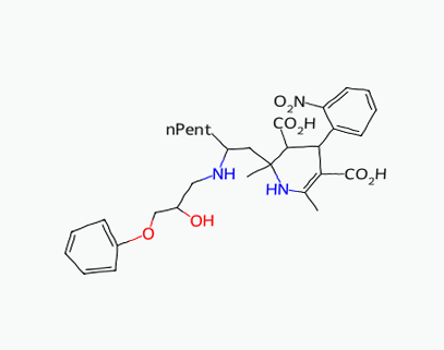 CCCCCC(CC1(C)NC(C)=C(C(=O)O)C(c2ccccc2[N+](=O)[O-])C1C(=O)O)NCC(O)COc1ccccc1